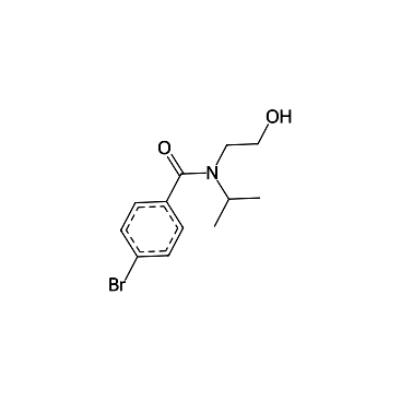 CC(C)N(CCO)C(=O)c1ccc(Br)cc1